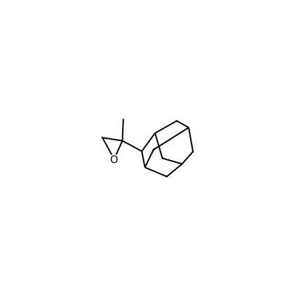 CC1(C2C3CC4CC(C3)CC2C4)CO1